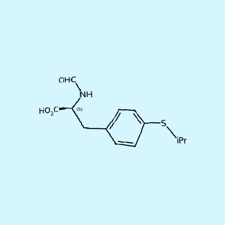 CC(C)Sc1ccc(C[C@H](NC=O)C(=O)O)cc1